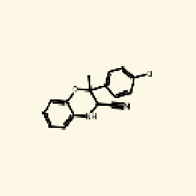 CC1(c2ccc(Cl)cc2)Oc2ccccc2NC1C#N